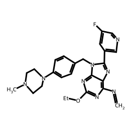 C=Nc1nc(OCC)nc2c1nc(-c1cncc(F)c1)n2Cc1ccc(N2CCN(C)CC2)cc1